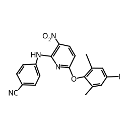 Cc1cc(I)cc(C)c1Oc1ccc([N+](=O)[O-])c(Nc2ccc(C#N)cc2)n1